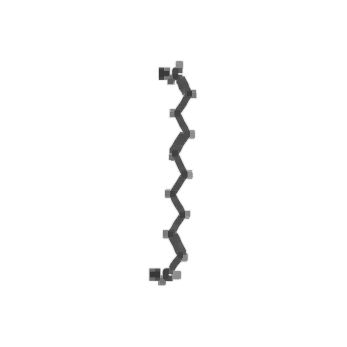 C=CCC=CCCCC=CC